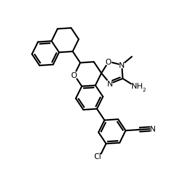 CN1OC2(CC(C3CCCc4ccccc43)Oc3ccc(-c4cc(Cl)cc(C#N)c4)cc32)N=C1N